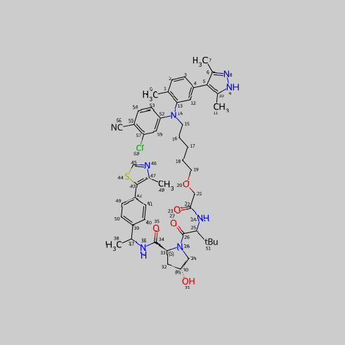 Cc1ccc(-c2c(C)n[nH]c2C)cc1N(CCCCCOCC(=O)NC(C(=O)N1C[C@H](O)C[C@H]1C(=O)NC(C)c1ccc(-c2scnc2C)cc1)C(C)(C)C)c1ccc(C#N)c(Cl)c1